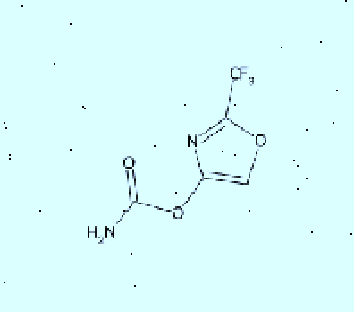 NC(=O)Oc1coc(C(F)(F)F)n1